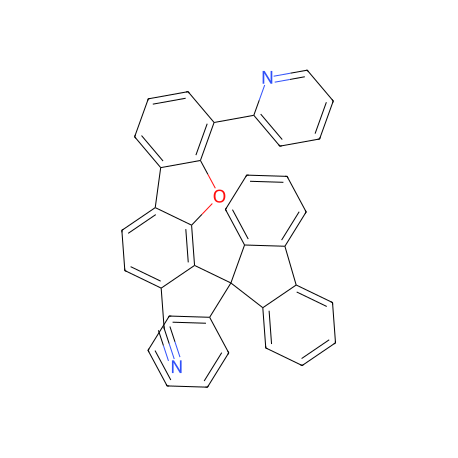 N#Cc1ccc2c(oc3c(-c4ccccn4)cccc32)c1C1(c2ccccc2)c2ccccc2-c2ccccc21